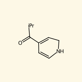 CC(C)C(=O)C1=CCNC=C1